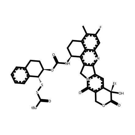 CC[C@@]1(O)C(=O)OCc2c1cc1n(c2=O)Cc2c-1nc1cc(F)c(C)c3c1c2[C@@H](NC(=O)O[C@@H]1CCc2ccccc2[C@H]1SSC(=O)C(C)(C)C)CC3